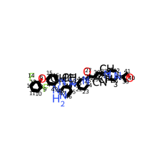 CN(c1ccc(Oc2c(F)cccc2F)cc1)c1c(N(C=O)C2CCCN(C(=O)/C(C#N)=C/C(C)(C)N3CCN(C4COC4)CC3)C2)ccnc1N